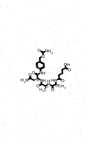 C[C@H](NC(=O)CCCC(=O)O)C(=O)N[C@@H](C)C(=O)N[C@@H](CC(N)=O)C(=O)Nc1ccc(COC(N)=O)cc1